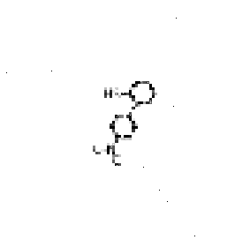 O=[N+]([O-])c1ccc(-c2ccccc2S)cc1